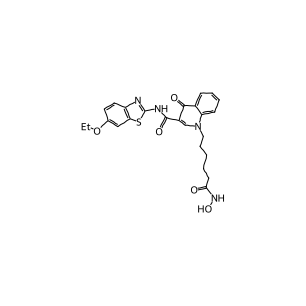 CCOc1ccc2nc(NC(=O)c3cn(CCCCCC(=O)NO)c4ccccc4c3=O)sc2c1